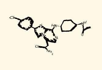 CC(=O)N[C@H]1CC[C@H](Nc2ncc(C(N)=O)n3cc(-c4ccc(Cl)cc4)nc23)CC1